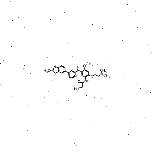 C=CC(=O)Nc1cc(Nc2cc(-c3ccc4nc(C)sc4c3)ncn2)c(OC)cc1OCCN(C)C